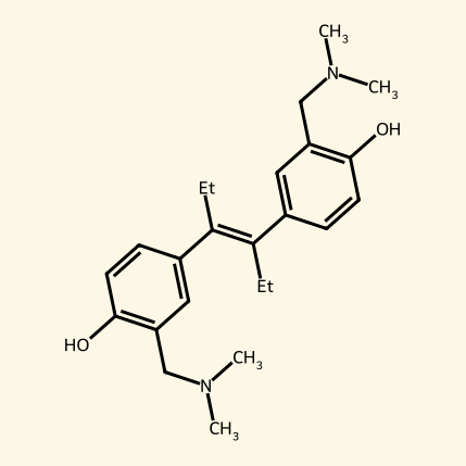 CC/C(=C(/CC)c1ccc(O)c(CN(C)C)c1)c1ccc(O)c(CN(C)C)c1